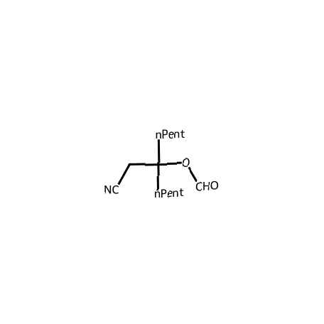 CCCCCC(CC#N)(CCCCC)OC=O